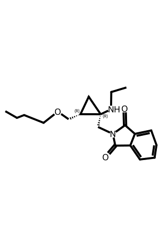 CCCCOC[C@@H]1C[C@@]1(CN1C(=O)c2ccccc2C1=O)NCC